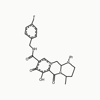 CC(C)N1CCC(C)N2C(=O)c3c(O)c(=O)c(C(=O)NCc4ccc(F)cc4)cn3CC12